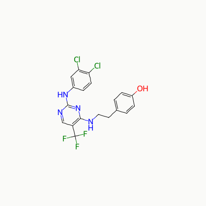 Oc1ccc(CCNc2nc(Nc3ccc(Cl)c(Cl)c3)ncc2C(F)(F)F)cc1